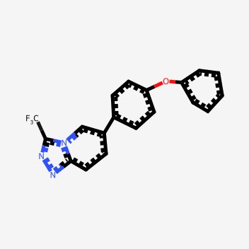 FC(F)(F)c1nnc2ccc(-c3ccc(Oc4ccccc4)cc3)cn12